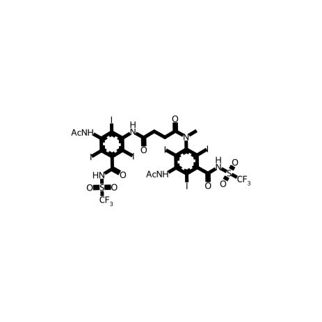 CC(=O)Nc1c(I)c(NC(=O)CCC(=O)N(C)c2c(I)c(NC(C)=O)c(I)c(C(=O)NS(=O)(=O)C(F)(F)F)c2I)c(I)c(C(=O)NS(=O)(=O)C(F)(F)F)c1I